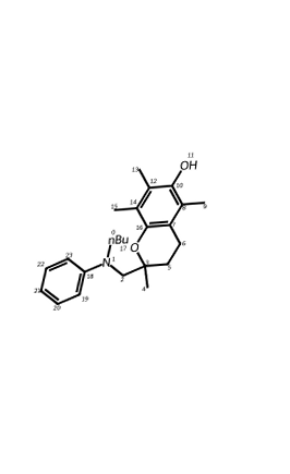 CCCCN(CC1(C)CCc2c(C)c(O)c(C)c(C)c2O1)c1ccccc1